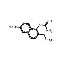 COc1ccc2c(SC(=N)N)c(CC(=O)O)ccc2c1